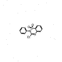 CCC1=Nc2ccccc2S(=O)(=O)N1c1ccccc1